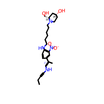 CCC#CN/C=C(\C)c1ccc(NCCCCCCN2CC[C@@H](O)C[C@H]2CO)c([N+](=O)[O-])c1